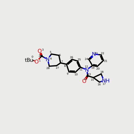 CC(C)(C)OC(=O)N1CCC(c2ccc(N(C(=O)C3CNC3)c3cccnc3)cc2)CC1